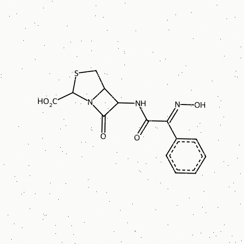 O=C(NC1C(=O)N2C(C(=O)O)SCC12)C(=NO)c1ccccc1